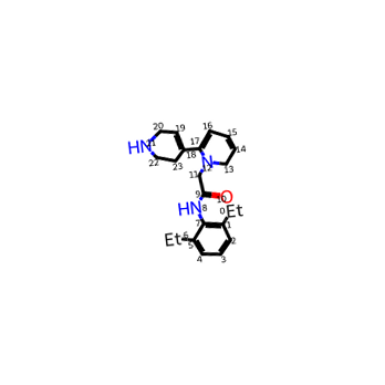 CCc1cccc(CC)c1NC(=O)CN1CC=CC=C1C1=CCNCC1